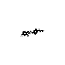 C=CCCc1ccc(/C=N/N=C/c2ccc(C)cc2C)cc1